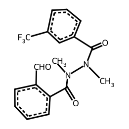 CN(C(=O)c1cccc(C(F)(F)F)c1)N(C)C(=O)c1ccccc1C=O